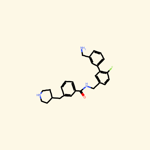 NCc1cccc(-c2cc(CNC(=O)c3cccc(CC4CCNCC4)c3)ccc2F)c1